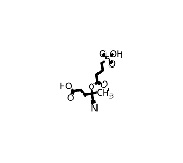 CC(C#N)(CCC(=O)O)OC(=O)CCCS(=O)(=O)O